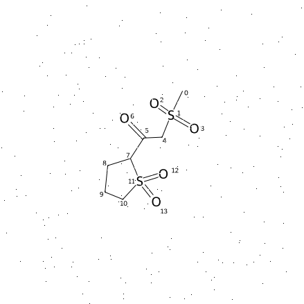 CS(=O)(=O)CC(=O)C1CCCS1(=O)=O